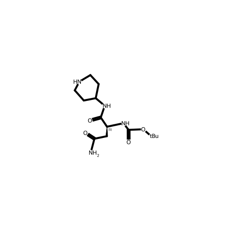 CC(C)(C)OC(=O)N[C@@H](CC(N)=O)C(=O)NC1CCNCC1